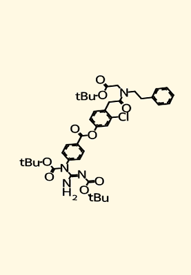 CC(C)(C)OC(=O)CN(CCc1ccccc1)C(=O)Cc1ccc(OC(=O)c2ccc(N(C(=O)OC(C)(C)C)C(N)=NC(=O)OC(C)(C)C)cc2)cc1Cl